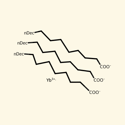 CCCCCCCCCCCCCCCCCC(=O)[O-].CCCCCCCCCCCCCCCCCC(=O)[O-].CCCCCCCCCCCCCCCCCC(=O)[O-].[Yb+3]